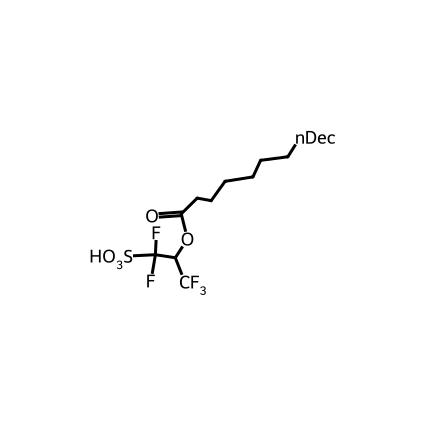 CCCCCCCCCCCCCCCCC(=O)OC(C(F)(F)F)C(F)(F)S(=O)(=O)O